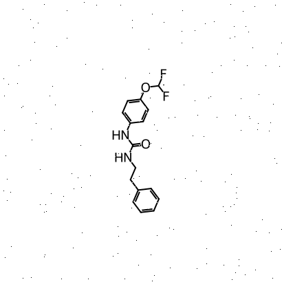 O=C(NCCc1ccccc1)Nc1ccc(OC(F)F)cc1